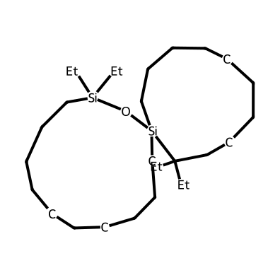 CCC1(CC)CCCCCCCCC[Si]12CCCCCCCCCC[Si](CC)(CC)O2